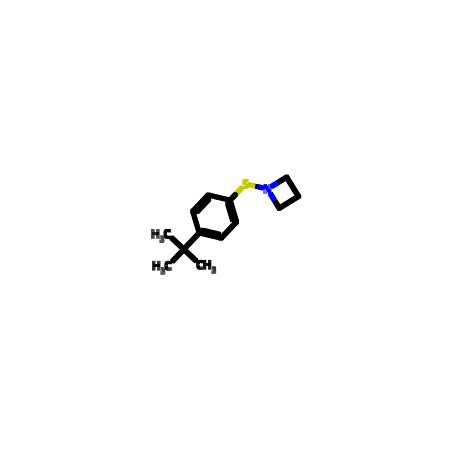 CC(C)(C)c1ccc(SN2CCC2)cc1